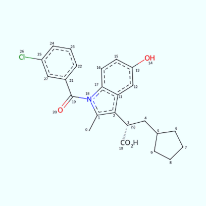 Cc1c([C@H](CC2CCCC2)C(=O)O)c2cc(O)ccc2n1C(=O)c1cccc(Cl)c1